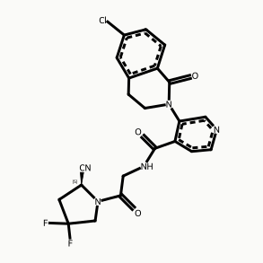 N#C[C@@H]1CC(F)(F)CN1C(=O)CNC(=O)c1ccncc1N1CCc2cc(Cl)ccc2C1=O